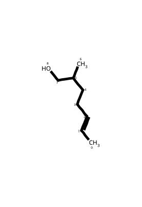 CC=CCCC(C)CO